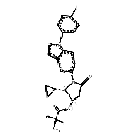 CC(F)(F)C(=O)N[C@@H]1CC(=O)N(c2ccc3c(cnn3-c3ccc(F)cc3)c2)[C@H]1C1CC1